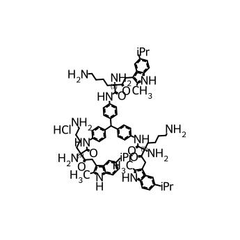 Cc1[nH]c2ccc(C(C)C)cc2c1CC(=O)[C@@](N)(CCCCN)C(=O)Nc1ccc(C(c2ccc(NC(=O)[C@](N)(CCCCN)C(=O)Cc3c(C)[nH]c4ccc(C(C)C)cc34)cc2)c2ccc(NC(=O)[C@](N)(CCCCN)C(=O)Cc3c(C)[nH]c4ccc(C(C)C)cc34)cc2)cc1.Cl